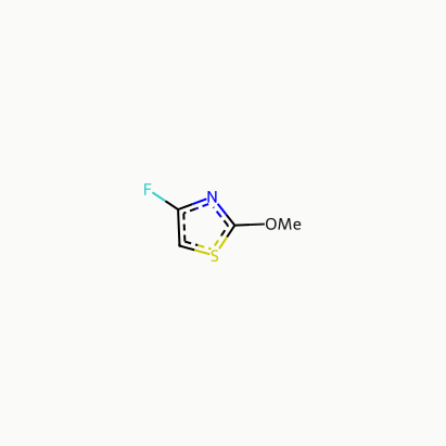 COc1nc(F)cs1